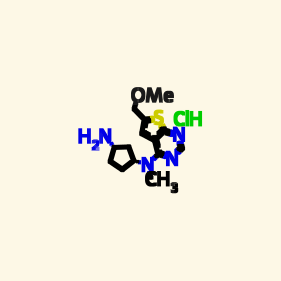 COCc1cc2c(N(C)[C@@H]3CC[C@H](N)C3)ncnc2s1.Cl